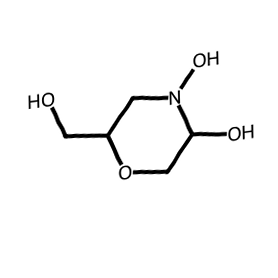 OCC1CN(O)C(O)CO1